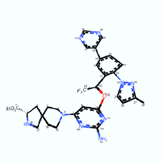 CCOC(=O)[C@@H]1CC2(CCN(c3cc(O[C@H](c4cc(-c5cncnc5)ccc4-n4ccc(C)n4)C(F)(F)F)nc(N)n3)CC2)CN1